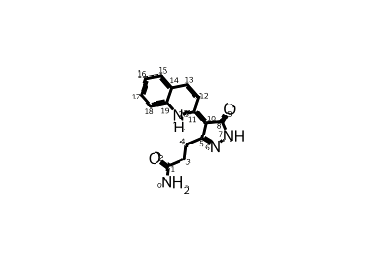 NC(=O)CCC1=NNC(=O)C1=C1C=Cc2ccccc2N1